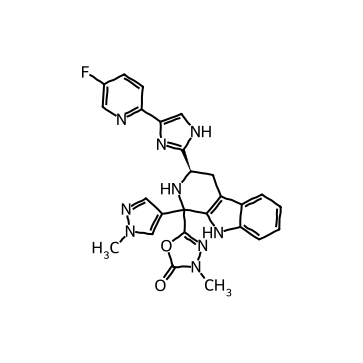 Cn1cc(C2(c3nn(C)c(=O)o3)N[C@@H](c3nc(-c4ccc(F)cn4)c[nH]3)Cc3c2[nH]c2ccccc32)cn1